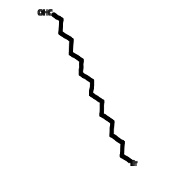 O=CCCCCCCCCCCCCCCBr